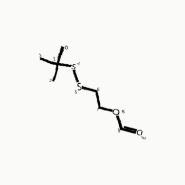 CC(C)(C)SSCCO[C]=O